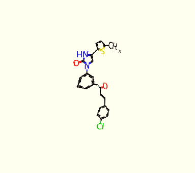 Cc1ccc(-c2cn(-c3cccc(C(=O)/C=C/c4ccc(Cl)cc4)c3)c(=O)[nH]2)s1